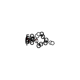 O=C1OCC2OC(C3CC4CCCC(C4)C3)OC2COC(=O)C23CCCC(CC(C4OCC(F)(F)C(F)(F)CO4)C4(CCC15CC(C1OCC(F)(F)C(F)(F)CO1)CC4C5)C2)C3